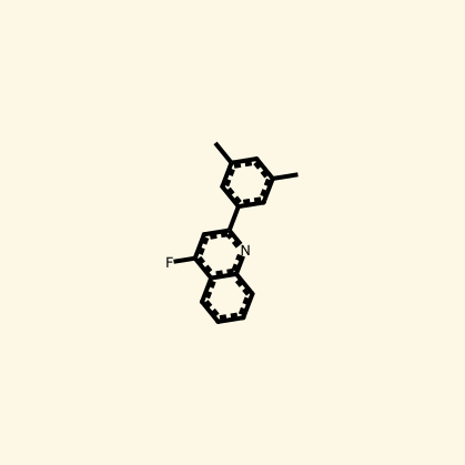 Cc1cc(C)cc(-c2cc(F)c3ccccc3n2)c1